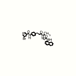 CC(NC(=O)CCc1ccc(NC(=O)c2cncc(Br)c2)cc1)OC(=O)Nc1cccc2ccccc12